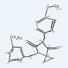 CCOC(=O)c1cc(CN2C(=O)N(c3ccc(OC(F)(F)F)cc3)C(=O)C23CC3)ccn1